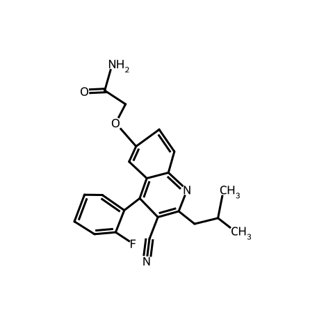 CC(C)Cc1nc2ccc(OCC(N)=O)cc2c(-c2ccccc2F)c1C#N